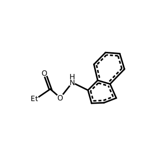 CCC(=O)ONc1cccc2ccccc12